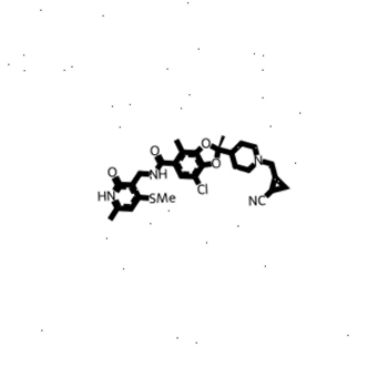 CSc1cc(C)[nH]c(=O)c1CNC(=O)c1cc(Cl)c2c(c1C)O[C@](C)(C1CCN(CC3CC3C#N)CC1)O2